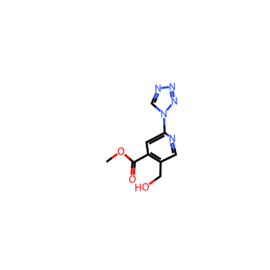 COC(=O)c1cc(-n2cnnn2)ncc1CO